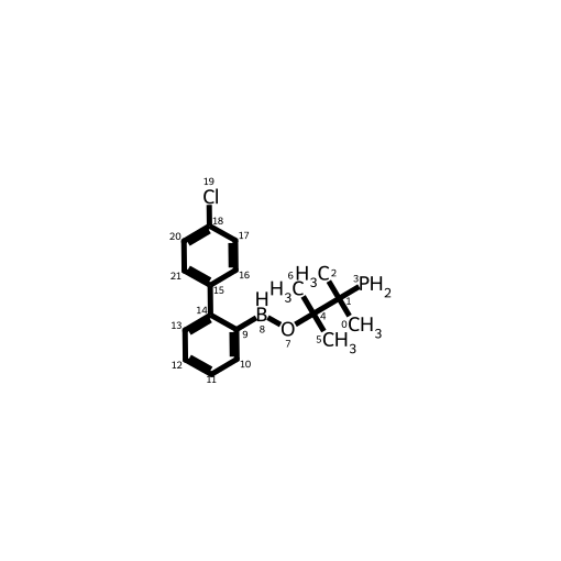 CC(C)(P)C(C)(C)OBc1ccccc1-c1ccc(Cl)cc1